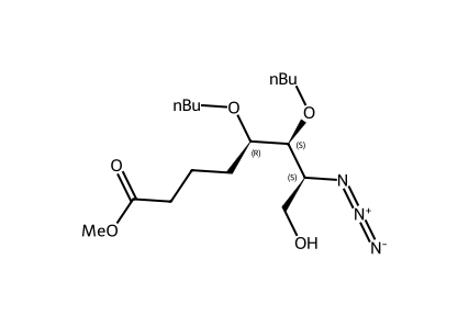 CCCCO[C@@H]([C@H](CO)N=[N+]=[N-])[C@@H](CCCC(=O)OC)OCCCC